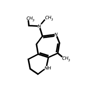 CCN(C)C1=NC=C(C)C2=C(CCCN2)C1